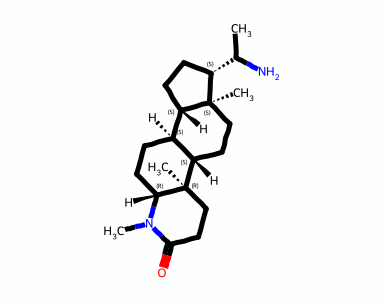 CC(N)[C@H]1CC[C@H]2[C@@H]3CC[C@H]4N(C)C(=O)CC[C@]4(C)[C@H]3CC[C@]12C